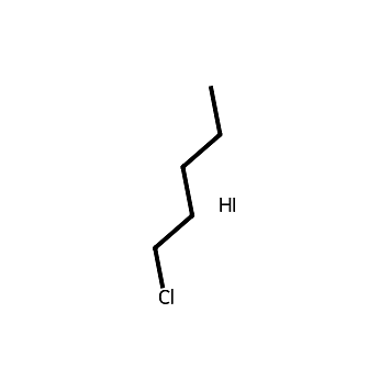 CCCCCCl.I